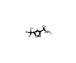 NC(=O)c1cc(C(F)(F)F)on1